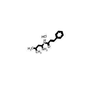 CC(C)CC(N)NC(=O)C=Cc1ccccc1.Cl